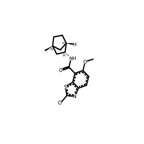 COc1ccc2nc(Cl)sc2c1C(=O)N[C@@H]1C[C@]2(C)CC[C@H]1C2